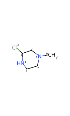 CN1[CH]CNC(Cl)C1